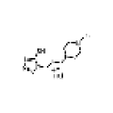 CC(C)N1CCN(CCCn2nnnc2S)CC1.Cl.Cl